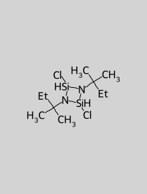 CCC(C)(C)N1[SiH](Cl)N(C(C)(C)CC)[SiH]1Cl